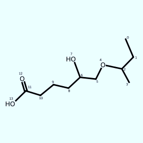 CCC(C)OCC(O)CCCC(=O)O